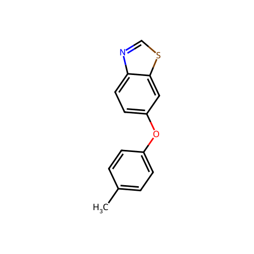 Cc1ccc(Oc2ccc3ncsc3c2)cc1